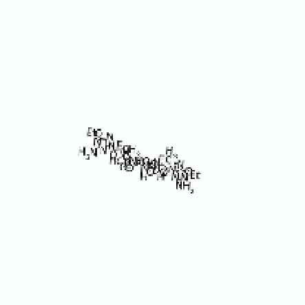 CCOc1nc(N)nc2c1ncn2[C@@H]1O[C@@H]2COP(=O)(NCCN[PH]3(O)OC[C@H]4O[C@@H](n5cnc6c(OCC)nc(N)nc65)[C@](C)(F)[C@@H]4O3)O[C@H]2[C@@]1(C)F